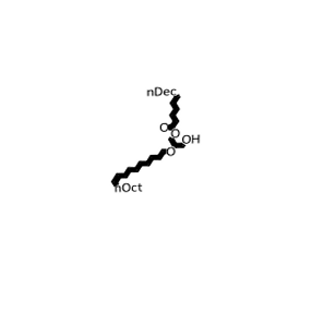 CCCCCCCC/C=C\CCCCCCCCOC(CO)COC(=O)CCCCCCCCCCCCCCC